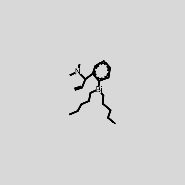 C=CC(c1cccc[c]1[Bi]([CH2]CCCC)[CH2]CCCC)N(C)C